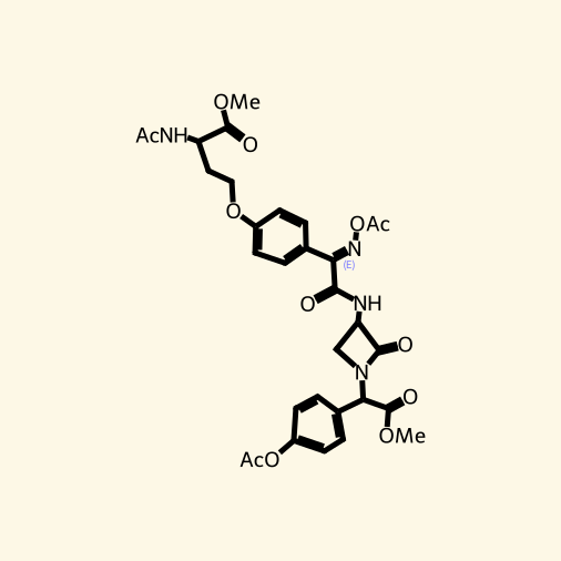 COC(=O)C(CCOc1ccc(/C(=N\OC(C)=O)C(=O)NC2CN(C(C(=O)OC)c3ccc(OC(C)=O)cc3)C2=O)cc1)NC(C)=O